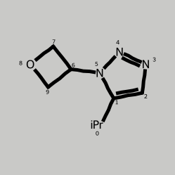 CC(C)c1cnnn1C1COC1